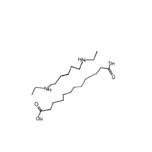 CCNCCCCCCNCC.O=C(O)CCCCCCCCCCC(=O)O